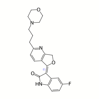 O=C1Nc2ccc(F)cc2/C1=C1\OCc2nc(CCCN3CCOCC3)ccc21